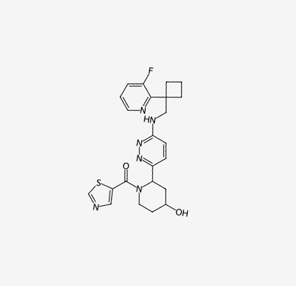 O=C(c1cncs1)N1CCC(O)CC1c1ccc(NCC2(c3ncccc3F)CCC2)nn1